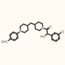 O=Cc1ccc(N2CCC(CC3CCN(C(=O)C(O)c4cccc(Cl)c4)CC3)CC2)cc1